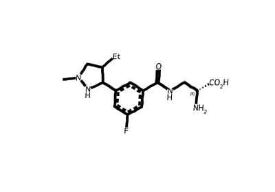 CCC1CN(C)NC1c1cc(F)cc(C(=O)NC[C@@H](N)C(=O)O)c1